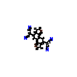 N#CC(C#N)=c1cc2c(cc(=C(C#N)C#N)c3ccsc32)c2sccc12